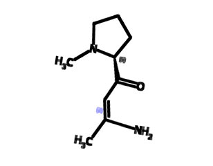 C/C(N)=C/C(=O)[C@@H]1CCCN1C